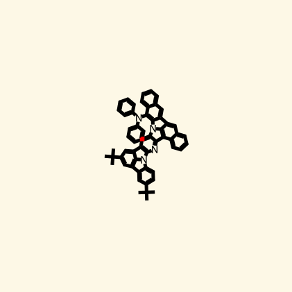 CC(C)(C)c1ccc2c(c1)c1cc(C(C)(C)C)cc3c4cc5c(nc4n2c13)c1c2ccccc2cc2c3cc4ccccc4c(N(c4ccccc4)c4ccccc4)c3n5c21